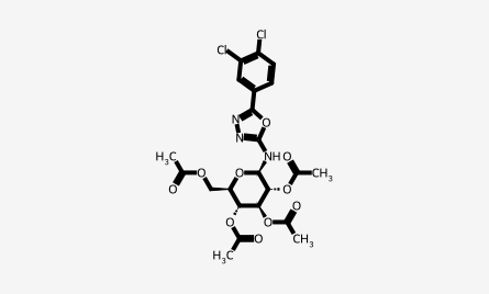 CC(=O)OC[C@H]1O[C@@H](Nc2nnc(-c3ccc(Cl)c(Cl)c3)o2)[C@H](OC(C)=O)[C@@H](OC(C)=O)[C@@H]1OC(C)=O